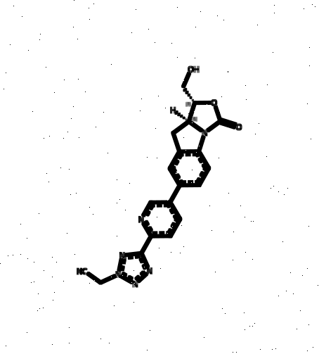 N#CCn1nnc(-c2ccc(-c3ccc4c(c3)C[C@H]3[C@H](CO)OC(=O)N43)cn2)n1